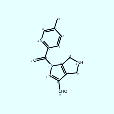 Cc1ccc(C(=O)n2nc(C=O)c3c2CNC3)nc1